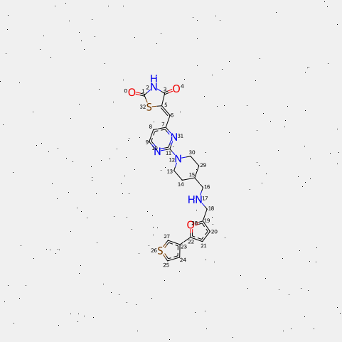 O=C1NC(=O)/C(=C/c2ccnc(N3CCC(CNCc4ccc(-c5ccsc5)o4)CC3)n2)S1